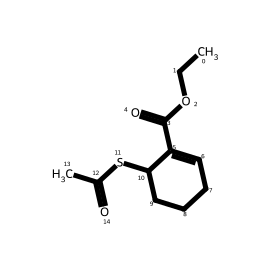 CCOC(=O)C1=CCCCC1SC(C)=O